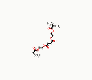 C=C(C)C(=O)OCCOC(=O)CCC(=O)OCCOC(=O)CS(=O)(=O)O